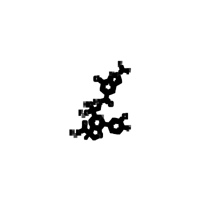 C[C@]1(C(N)=O)COc2c1cc(C(O)(CNC(=O)c1cc(Cl)c3nn(C(F)F)cc3c1)C(F)(F)F)nc2-c1ccc(F)c(Cl)c1